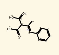 C/C(=N\c1ccccc1)C(C(=O)O)C(=O)O